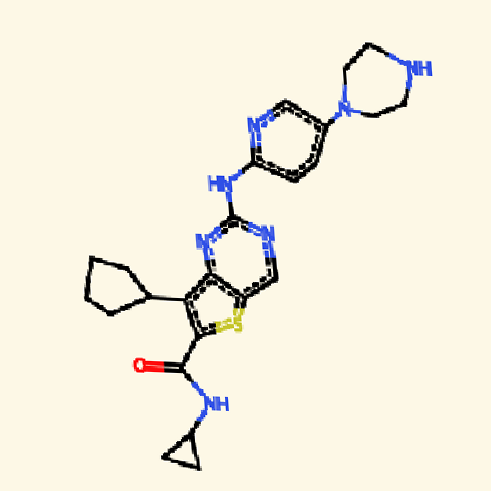 O=C(NC1CC1)c1sc2cnc(Nc3ccc(N4CCNCC4)cn3)nc2c1C1CCCC1